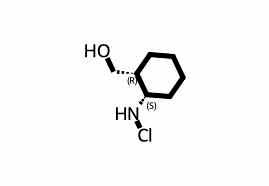 OC[C@@H]1CCCC[C@@H]1NCl